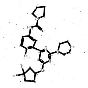 Cc1ccc(NC(=O)N2CCCC2)cc1-c1cc(NC2CCC(F)(F)C2)nc(N2CCOCC2)n1